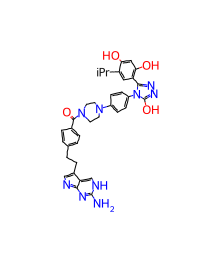 CC(C)c1cc(-c2nnc(O)n2-c2ccc(N3CCN(C(=O)c4ccc(CCc5cnc6nc(N)[nH]cc5-6)cc4)CC3)cc2)c(O)cc1O